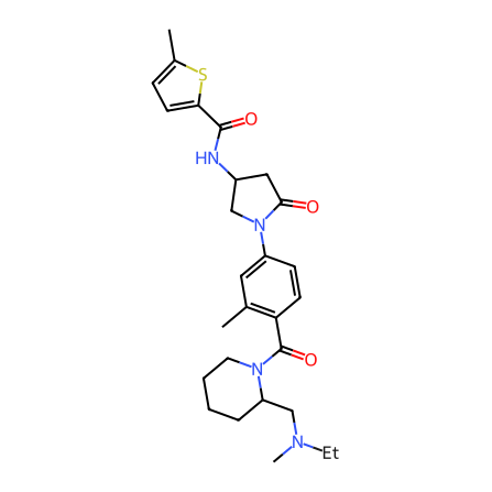 CCN(C)CC1CCCCN1C(=O)c1ccc(N2CC(NC(=O)c3ccc(C)s3)CC2=O)cc1C